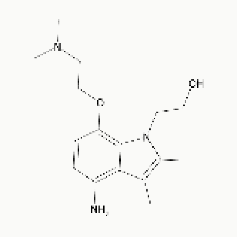 Cc1c(C)n(CCO)c2c(OCCN(C)C)ccc(N)c12